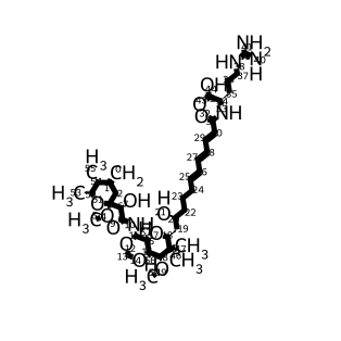 C=C1C[C@](OC)([C@H](O)C(=O)N[C@H]2OCO[C@H]3[C@@H]2O[C@H](C[C@H](O)CCC/C=C/C=C/C=C/C(=O)N[C@@H](CCCNC(=N)N)C(=O)O)C(C)(C)[C@@H]3OC)O[C@H](C)[C@@H]1C